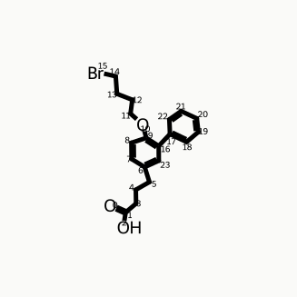 O=C(O)CCCc1ccc(OCCCCBr)c(-c2ccccc2)c1